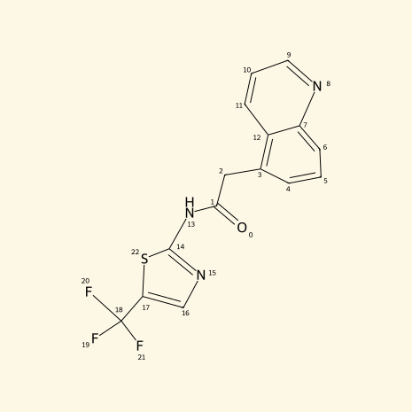 O=C(Cc1cccc2ncccc12)Nc1ncc(C(F)(F)F)s1